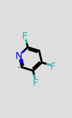 Fc1cc(F)c(F)[c]n1